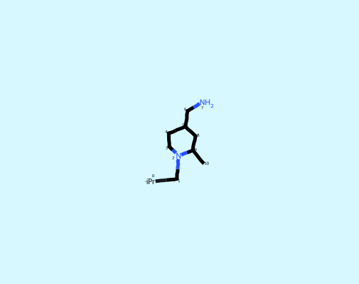 C[C](C)CN1CCC(CN)CC1C